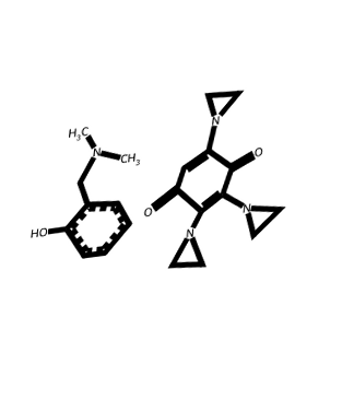 CN(C)Cc1ccccc1O.O=C1C=C(N2CC2)C(=O)C(N2CC2)=C1N1CC1